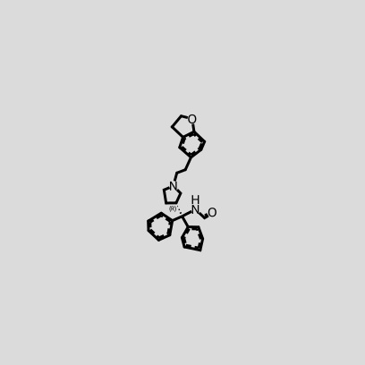 O=CNC(c1ccccc1)(c1ccccc1)[C@@H]1CCN(CCc2ccc3c(c2)CCO3)C1